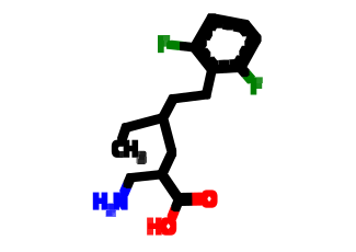 CCC(CCc1c(F)cccc1F)CC(CN)C(=O)O